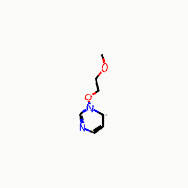 COCCON1[CH]C=CN=C1